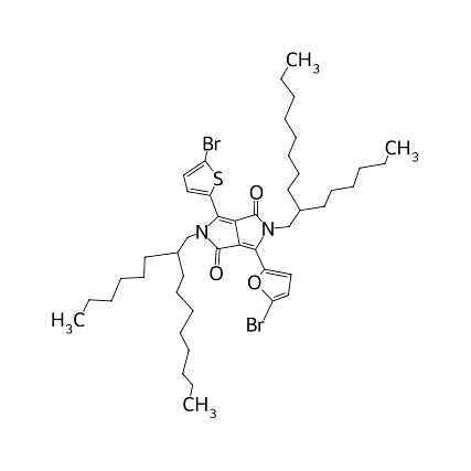 CCCCCCCCC(CCCCCC)CN1C(=O)C2=C(c3ccc(Br)s3)N(CC(CCCCCC)CCCCCCCC)C(=O)C2=C1c1ccc(Br)o1